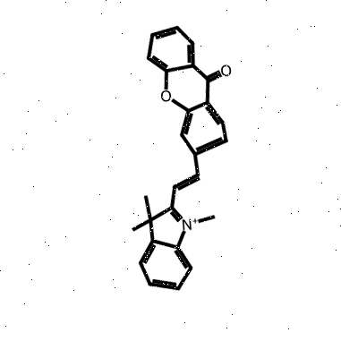 C[N+]1=C(C=Cc2ccc3c(=O)c4ccccc4oc3c2)C(C)(C)c2ccccc21